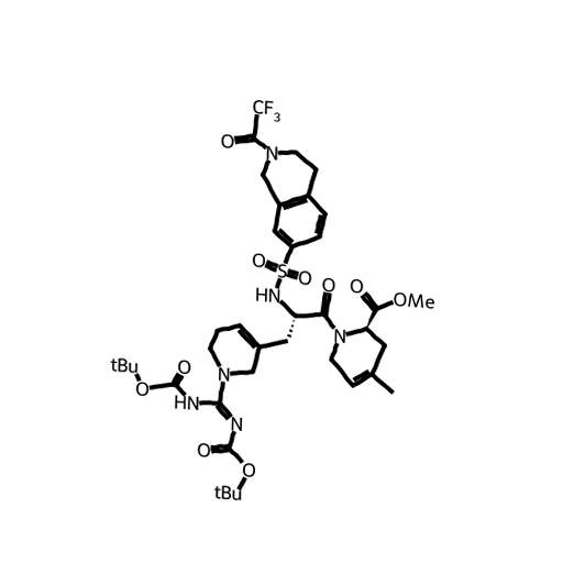 COC(=O)[C@H]1CC(C)=CCN1C(=O)[C@H](CC1=CCCN(C(=NC(=O)OC(C)(C)C)NC(=O)OC(C)(C)C)C1)NS(=O)(=O)c1ccc2c(c1)CN(C(=O)C(F)(F)F)CC2